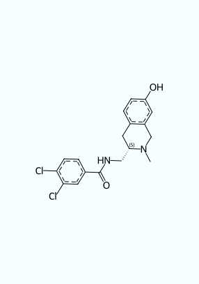 CN1Cc2cc(O)ccc2C[C@H]1CNC(=O)c1ccc(Cl)c(Cl)c1